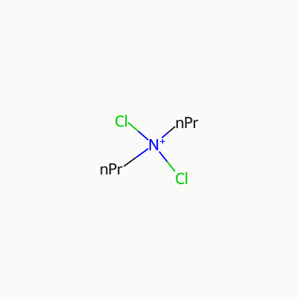 CCC[N+](Cl)(Cl)CCC